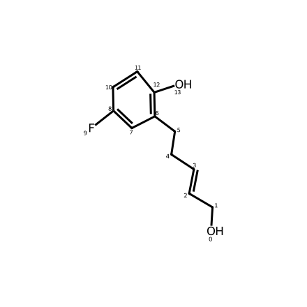 OC/C=C/CCc1cc(F)ccc1O